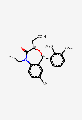 COc1cccc([C@H]2O[C@H](CC(=O)O)C(=O)N(CC(C)(C)C)c3ccc(C#N)cc32)c1OC